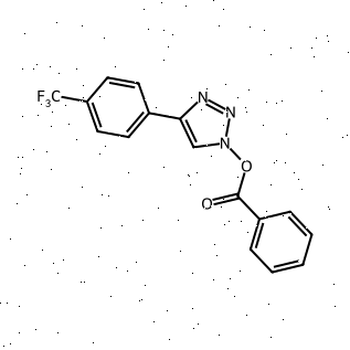 O=C(On1cc(-c2ccc(C(F)(F)F)cc2)nn1)c1ccccc1